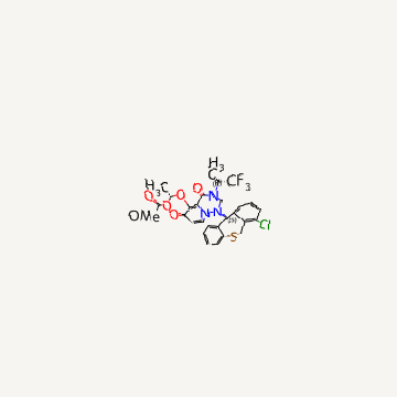 COC(=O)OC(C)Oc1c2n(ccc1=O)N([C@@H]1c3ccccc3SCc3c(Cl)cccc31)CN([C@H](C)C(F)(F)F)C2=O